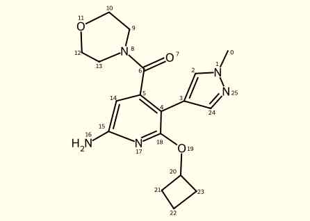 Cn1cc(-c2c(C(=O)N3CCOCC3)cc(N)nc2OC2CCC2)cn1